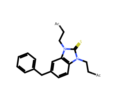 CC(=O)CCn1c(=S)n(CCC(C)=O)c2cc(Cc3ccccc3)ccc21